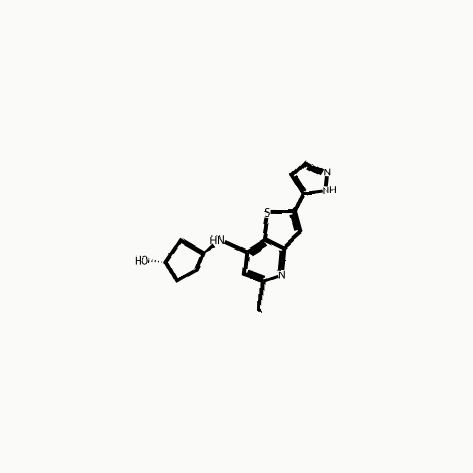 Cc1cc(N[C@H]2CC[C@H](O)C2)c2sc(-c3ccn[nH]3)cc2n1